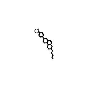 CC=CCCC1CCc2c(ccc3c2CCC(c2ccc(Cl)cc2)C3)C1